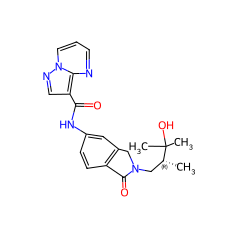 C[C@H](CN1Cc2cc(NC(=O)c3cnn4cccnc34)ccc2C1=O)C(C)(C)O